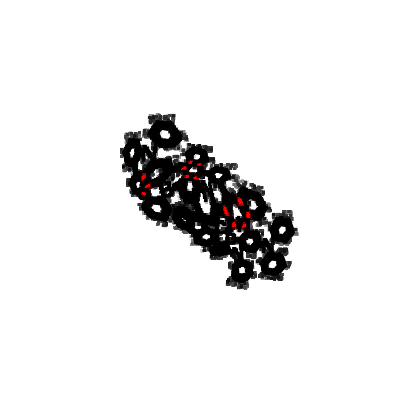 C1=CCC(C2=C(N3c4cc5c(cc4C4(c6ccccc6-c6ccccc64)c4cc6c(cc43)N(c3ccccc3)c3cc(N(c4ccccc4)c4ccccc4)cc4c3B6c3ccccc3N4c3ccccc3)B3c4ccccc4Oc4cc(N(c6ccccc6)c6ccccc6-c6ccccc6)cc(c43)N5c3ccccc3)C(C3=CCCC=C3)CC=C2)C=C1